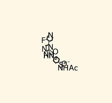 CC(=O)N[S+]([O-])c1ccc(NC(=O)c2nc(-c3ccncc3F)cnc2N)cc1